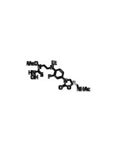 CCN(CCN(OC)C(=S)NO)c1ccc(N2C[C@H](CNC(C)=O)OC2=O)cc1F